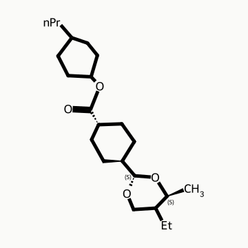 CCCC1CCC(OC(=O)[C@H]2CC[C@H]([C@H]3OCC(CC)[C@H](C)O3)CC2)CC1